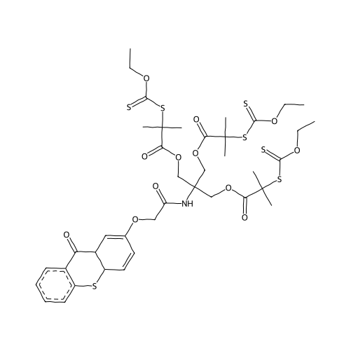 CCOC(=S)SC(C)(C)C(=O)OCC(COC(=O)C(C)(C)SC(=S)OCC)(COC(=O)C(C)(C)SC(=S)OCC)NC(=O)COC1=CC2C(=O)c3ccccc3SC2C=C1